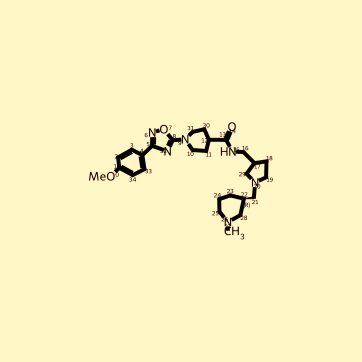 COc1ccc(-c2noc(N3CCC(C(=O)NCC4CCN(C[C@@H]5CCCN(C)C5)C4)CC3)n2)cc1